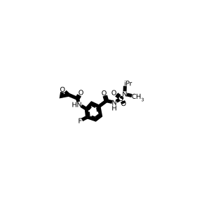 CC(C)N(C)S(=O)(=O)NC(=O)c1ccc(F)c(NC(=O)C2CO2)c1